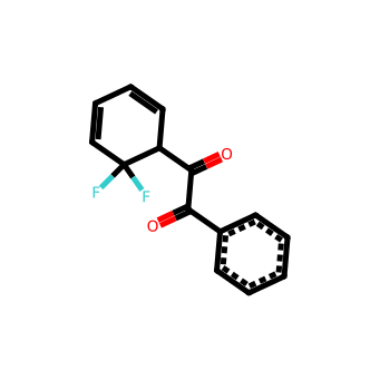 O=C(C(=O)C1C=CC=CC1(F)F)c1ccccc1